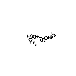 Cc1ccccc1CNc1ccc(C(=O)CCCN2CCC(O)(c3cccc(C(F)(F)F)c3)CC2)c(F)c1